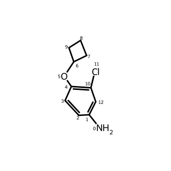 Nc1ccc(OC2CCC2)c(Cl)c1